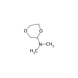 CN(C)[C]1COCCO1